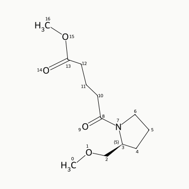 COC[C@@H]1CCCN1C(=O)CCCC(=O)OC